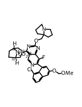 COCOc1cc(-c2ncc3c(N4C[C@H]5CC[C@@H](C4)N5C(=O)O)nc(OCC45CCCN4CCC5)nc3c2F)c2c(Cl)cccc2c1